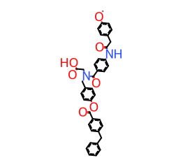 COc1ccc(CC(=O)Nc2ccc(C(=O)N(CC(=O)O)Cc3ccc(OC(=O)c4ccc(Cc5ccccc5)cc4)cc3)cc2)cc1